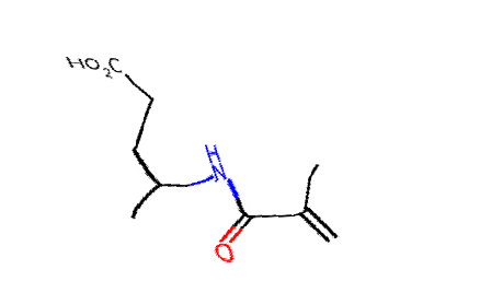 C=C(C)C(=O)NC(C)CCC(=O)O